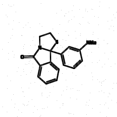 CNc1cccc(C23SCCN2C(=O)c2ccccc23)c1